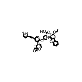 CCOc1nc(N2C[C@@H](Oc3ncc(C#Cc4ccn(C)n4)cc3N3CCOC4(COC4)[C@@H]3C)C[C@H]2C(=O)O)c2oc3ccccc3c2n1